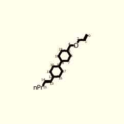 C=CCOCC1CCC(C2CCC(C=CCCC)CC2)CC1